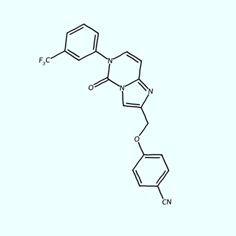 N#Cc1ccc(OCc2cn3c(=O)n(-c4cccc(C(F)(F)F)c4)ccc3n2)cc1